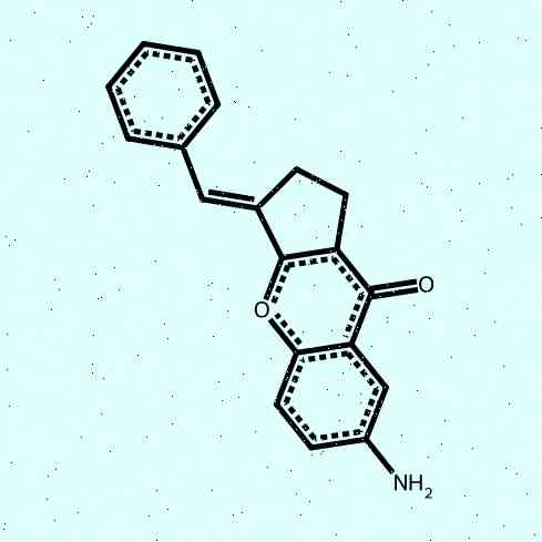 Nc1ccc2oc3c(c(=O)c2c1)CC/C3=C\c1ccccc1